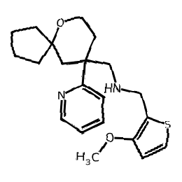 COc1ccsc1CNCC1(c2ccccn2)CCOC2(CCCC2)C1